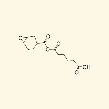 O=C(O)CCCCC(=O)OC(=O)C1CCC2OC2C1